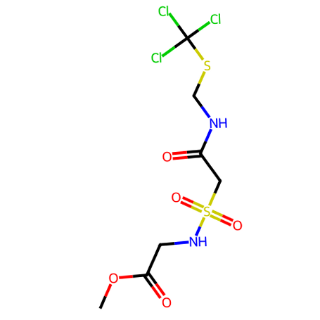 COC(=O)CNS(=O)(=O)CC(=O)NCSC(Cl)(Cl)Cl